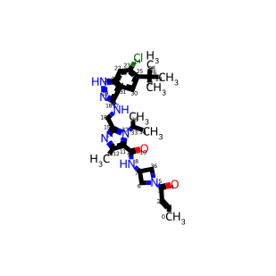 CC=CC(=O)N1CC(NC(=O)c2c(C)nc(CNc3n[nH]c4cc(Cl)c(C(C)(C)C)cc34)n2C(C)C)C1